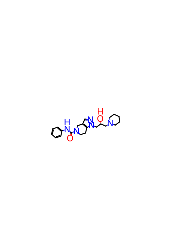 O=C(Nc1ccccc1)N1CCc2c(cnn2C[C@H](O)CN2CCCCC2)C1